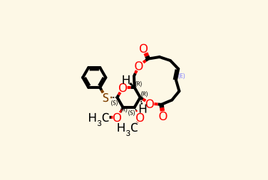 CO[C@@H]1[C@@H](OC)[C@H](Sc2ccccc2)O[C@@H]2COC(=O)CC/C=C/CCC(=O)O[C@@H]12